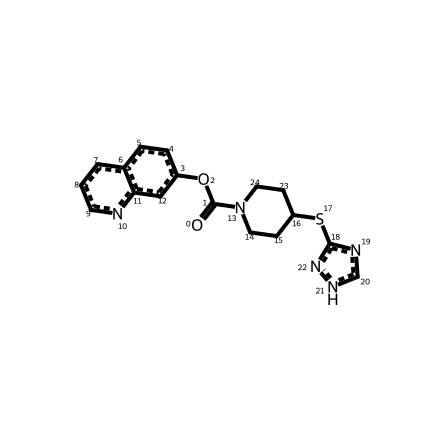 O=C(Oc1ccc2cccnc2c1)N1CCC(Sc2nc[nH]n2)CC1